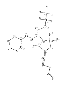 C=CCC=C=C1CC(F)(F)C2C1CC(OC1CCCCO1)C2CO[Si](C)(C)C(C)(C)C